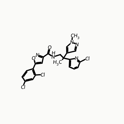 Cn1cc(C(C)(CNC(=O)c2cc(-c3ccc(Cl)cc3Cl)on2)c2cccc(Cl)n2)cn1